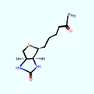 CCCC(C)C(=O)CCCC[C@@H]1SC[C@@H]2NC(=O)N[C@@H]21